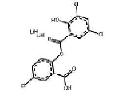 O=C(O)c1cc(Cl)ccc1OC(=O)c1cc(Cl)cc(Cl)c1O.[LiH].[LiH]